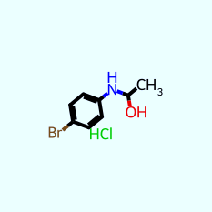 CC(O)Nc1ccc(Br)cc1.Cl